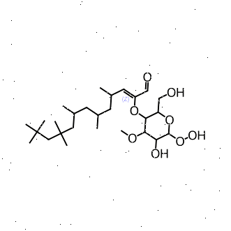 COC1C(O)C(OO)OC(CO)C1O/C(C=O)=C\C(C)CC(C)CC(C)CC(C)(C)CC(C)(C)C